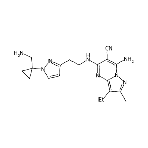 CCc1c(C)nn2c(N)c(C#N)c(NCCc3ccn(C4(CN)CC4)n3)nc12